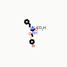 O=C(CSc1ccc(Br)cc1)Nc1cn(CCc2ccccc2)nc1OC(=O)O